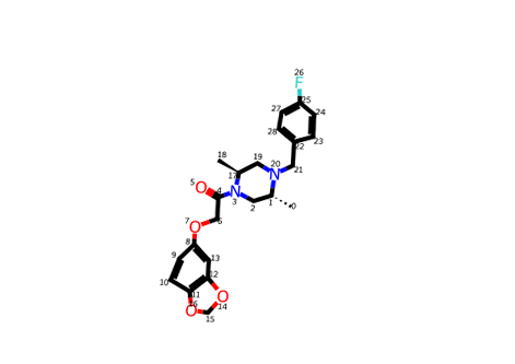 C[C@@H]1CN(C(=O)COc2ccc3c(c2)OCO3)[C@@H](C)CN1Cc1ccc(F)cc1